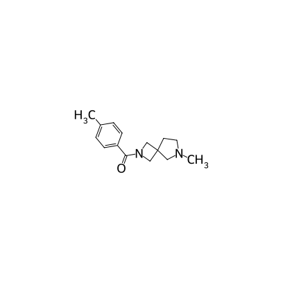 Cc1ccc(C(=O)N2CC3(CCN(C)C3)C2)cc1